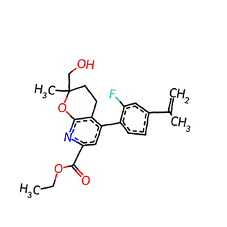 C=C(C)c1ccc(-c2cc(C(=O)OCC)nc3c2CCC(C)(CO)O3)c(F)c1